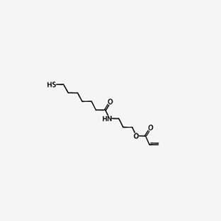 C=CC(=O)OCCCNC(=O)CCCCCCS